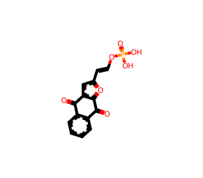 O=C1c2ccccc2C(=O)c2oc(C=COP(=O)(O)O)cc21